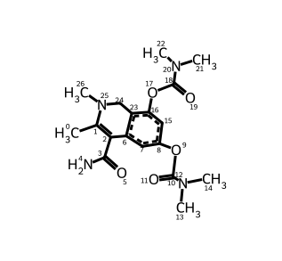 CC1=C(C(N)=O)c2cc(OC(=O)N(C)C)cc(OC(=O)N(C)C)c2CN1C